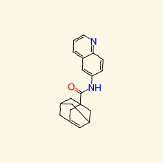 O=C(Nc1ccc2ncccc2c1)C12CC3=CC(CC(C3)C1)C2